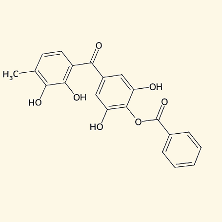 Cc1ccc(C(=O)c2cc(O)c(OC(=O)c3ccccc3)c(O)c2)c(O)c1O